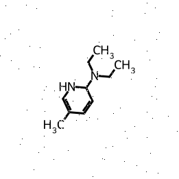 CCN(CC)C1C=CC(C)=CN1